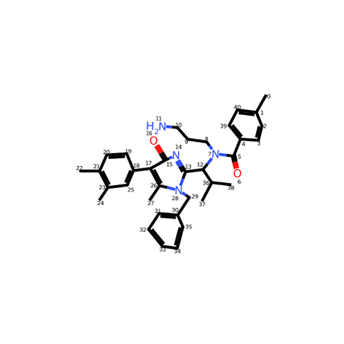 Cc1ccc(C(=O)N(CCCN)C(c2nc(=O)c(-c3ccc(C)c(C)c3)c(C)n2Cc2ccccc2)C(C)C)cc1